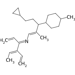 C=CC(=C\C)/C(C=C)=N/C=C(\C)C(CCC1CC1)C1CCC(C)CC1